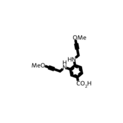 COC#CCNc1ccc(C(=O)O)cc1NCC#COC